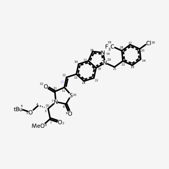 COC(=O)[C@H](COC(C)(C)C)N1C(=O)S/C(=C\c2ccc3c(cnn3Cc3ccc(Cl)cc3C(F)(F)F)c2)C1=O